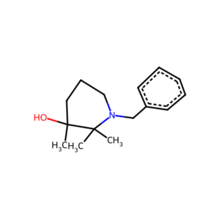 CC1(O)CCCN(Cc2ccccc2)C1(C)C